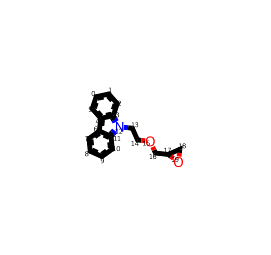 c1ccc2c(c1)c1ccccc1n2CCOCC1CO1